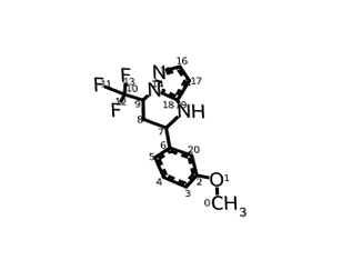 COc1cccc(C2CC(C(F)(F)F)n3nc[c]c3N2)c1